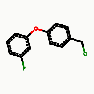 Fc1cccc(Oc2ccc(CCl)cc2)c1